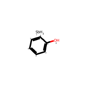 Oc1ccccc1.[SbH3]